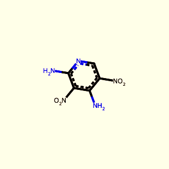 Nc1ncc([N+](=O)[O-])c(N)c1[N+](=O)[O-]